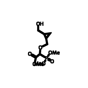 COC(=O)C(OCC1CC1CO)P(=O)(OC)OC